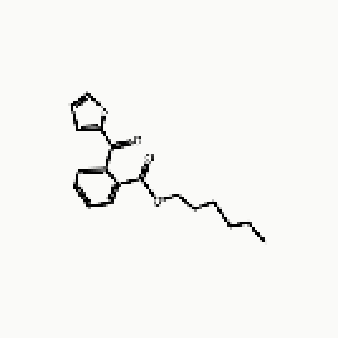 CCCCCCOC(=O)c1ccccc1C(=O)c1cccs1